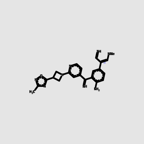 CN/C=C(\C=N)c1ccc(N)c(C(=N)c2ccnc(N3CC(c4nc(C)no4)C3)c2)c1